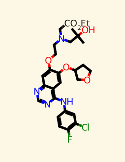 CCOC(=O)CN(CCOc1cc2ncnc(Nc3ccc(F)c(Cl)c3)c2cc1OC1CCOC1)CC(C)(C)O